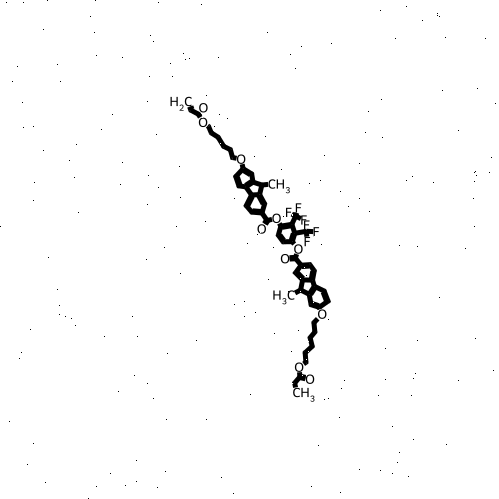 C=CC(=O)OCCCCCCOc1ccc2c(c1)C(C)c1cc(C(=O)Oc3ccc(OC(=O)c4ccc5c(c4)C(C)c4cc(OCCCCCCOC(=O)CC)ccc4-5)c(C(F)(F)F)c3C(F)(F)F)ccc1-2